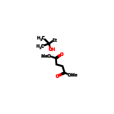 CCC(C)(C)O.COC(=O)CCC(=O)OC